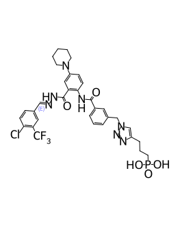 O=C(Nc1ccc(N2CCCCC2)cc1C(=O)N/N=C/c1ccc(Cl)c(C(F)(F)F)c1)c1cccc(Cn2cc(CCCP(=O)(O)O)nn2)c1